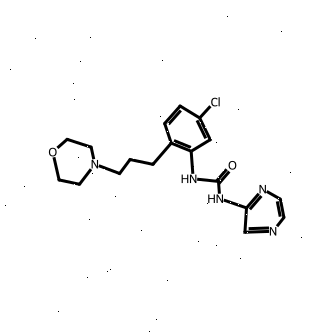 O=C(Nc1cnccn1)Nc1cc(Cl)ccc1CCCN1CCOCC1